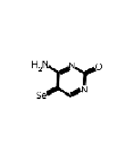 NC1=NC(=O)N=CC1=[Se]